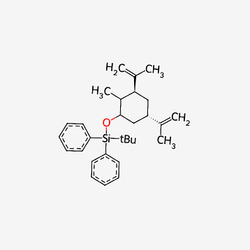 C=C(C)[C@@H]1CC(O[Si](c2ccccc2)(c2ccccc2)C(C)(C)C)C(C)[C@@H](C(=C)C)C1